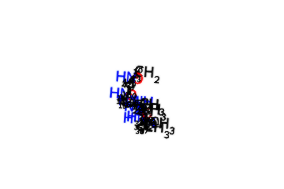 C=CC(=O)Nc1ccc(C(=O)Nc2cccc(NC3NNC4=C3CN(C(=O)N[C@H](CN(C)C)c3ccccc3)C4(C)C)c2)cc1